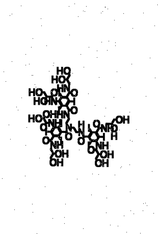 O=C(NCCN(CCNC(=O)c1c(I)c(NC(=O)C(O)CO)c(I)c(C(=O)NCC(O)CO)c1I)C(=O)c1c(I)c(NC(=O)C(O)O)c(I)c(C(=O)NCC(O)CO)c1I)c1c(I)c(NC(=O)C(O)CO)c(I)c(C(=O)NCC(O)CO)c1I